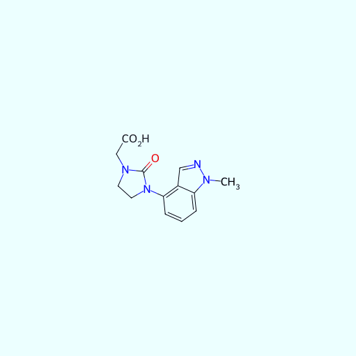 Cn1ncc2c(N3CCN(CC(=O)O)C3=O)cccc21